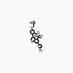 CC(=O)c1ccc(-c2cc(C3(NC(=O)c4cc(OCC5CCN5C)ccc4C)COC3)c3cccnc3c2)s1